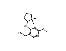 CSc1ncc(CO)c(NC2CCCC2(C)C)n1